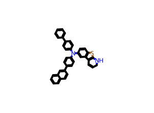 C1=Cc2c(sc3ccc(N(c4ccc(-c5ccccc5)cc4)c4ccc(-c5ccc6ccccc6c5)cc4)cc23)NC1